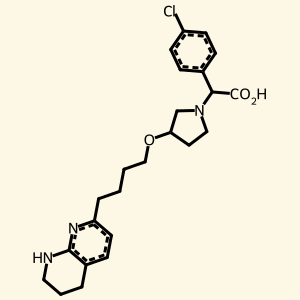 O=C(O)C(c1ccc(Cl)cc1)N1CCC(OCCCCc2ccc3c(n2)NCCC3)C1